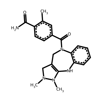 Cc1cc(C(=O)N2CC3=C(Nc4ccccc42)N(C)N(C)C3)ccc1C(N)=O